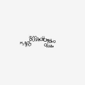 CNC(=O)CCC(C=O)Nc1ccc(N2CCC(CCC3CCN(Cc4c(Cl)cc(-c5cn(C)c(=O)c6ccccc56)cc4OC)CC3)CC2)c(Cl)c1